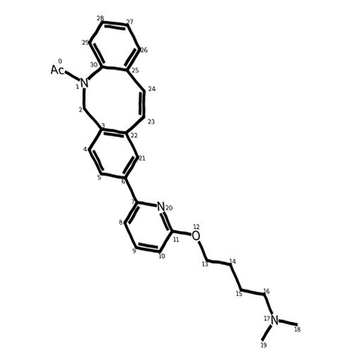 CC(=O)N1Cc2ccc(-c3cccc(OCCCCN(C)C)n3)cc2/C=C\c2ccccc21